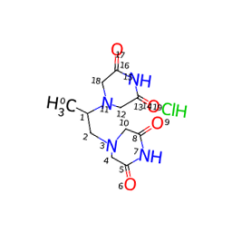 CC(CN1CC(=O)NC(=O)C1)N1CC(=O)NC(=O)C1.Cl